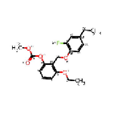 CCOc1cccc(OC(=O)OC)c1COc1ccc(CC)cc1F